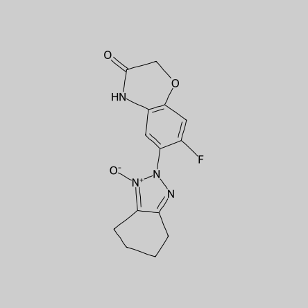 O=C1COc2cc(F)c(-n3nc4c([n+]3[O-])CCCC4)cc2N1